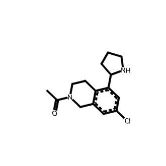 CC(=O)N1CCc2c(cc(Cl)cc2C2CCCN2)C1